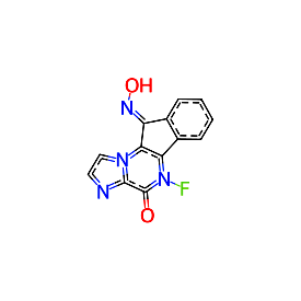 O=c1c2nccn2c2c(n1F)-c1ccccc1C2=NO